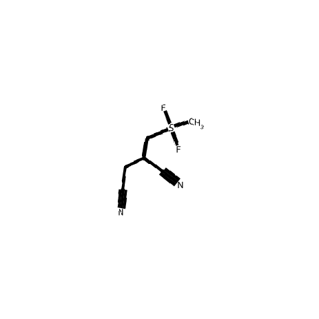 CS(F)(F)CC(C#N)CC#N